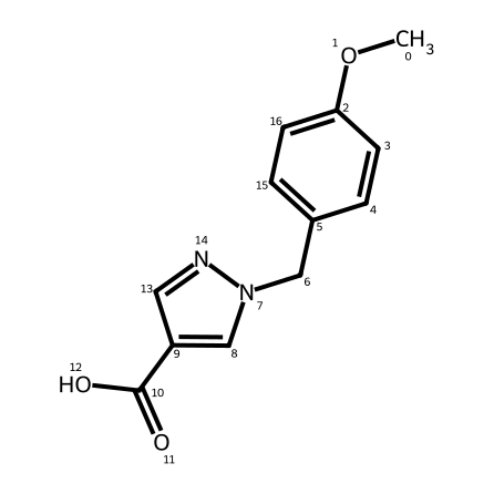 COc1ccc(Cn2cc(C(=O)O)cn2)cc1